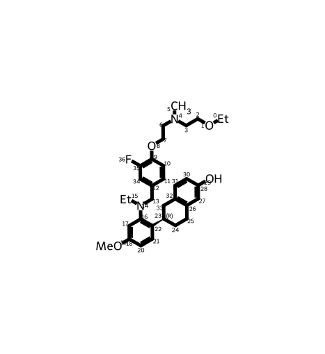 CCOCCN(C)CCOc1ccc(CN(CC)c2cc(OC)ccc2[C@@H]2CCc3cc(O)ccc3C2)cc1F